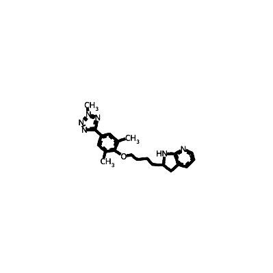 Cc1cc(-c2nnn(C)n2)cc(C)c1OCCCCC1Cc2cccnc2N1